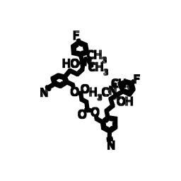 CN(C)[C@](O)(CCCc1ccc(C#N)cc1COC(=O)CCC(=O)OCc1cc(C#N)ccc1CCC[C@](O)(c1ccc(F)cc1)N(C)C)c1ccc(F)cc1